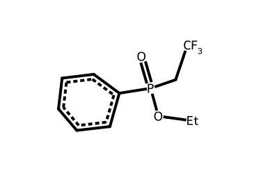 CCOP(=O)(CC(F)(F)F)c1ccccc1